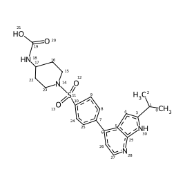 CC(C)c1cc2c(-c3ccc(S(=O)(=O)N4CCC(NC(=O)O)CC4)cc3)ccnc2[nH]1